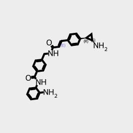 Nc1ccccc1NC(=O)c1ccc(CNC(=O)/C=C/c2ccc([C@H]3C[C@@H]3N)cc2)cc1